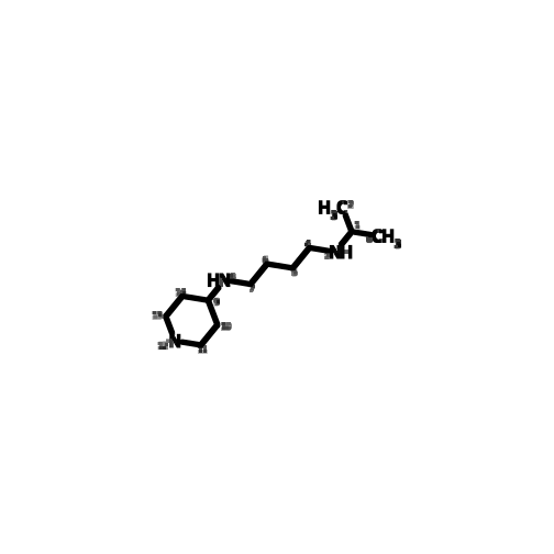 CC(C)NCCCCNC1CC[N]CC1